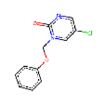 O=c1ncc(Cl)cn1COc1ccccc1